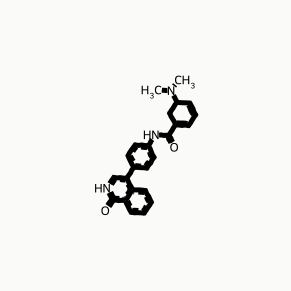 CN(C)C1C=CC=C(C(=O)Nc2ccc(-c3c[nH]c(=O)c4ccccc34)cc2)C1